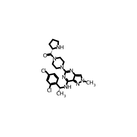 C[C@@H](Nc1nc(N2CCN(C(=O)[C@@H]3CCCN3)CC2)nc2cn(C)nc12)c1ccc(Cl)cc1Cl